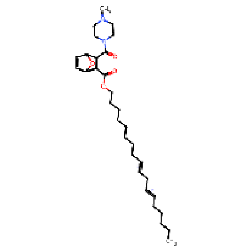 CCCCC/C=C/C/C=C/CCCCCCCCOC(=O)C1C2C=CC(O2)C1C(=O)N1CCN(C)CC1